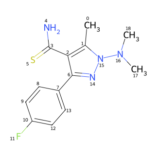 Cc1c(C(N)=S)c(-c2ccc(F)cc2)nn1N(C)C